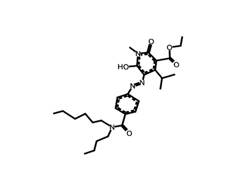 CCCCCCN(CCCC)C(=O)c1ccc(/N=N/c2c(C(C)C)c(C(=O)OCC)c(=O)n(C)c2O)cc1